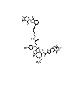 CCN1CC[C@H]2CC[C@@H](C(=O)N(CCC(=O)NCCCCC#Cc3cccc4c3CN(C3CCC(=O)NC3=O)C4=O)c3ccc(Br)cc3)N2C(=O)[C@@H](NC(=O)c2cc3cc(C(F)(F)P(=O)(O)O)ccc3s2)C1